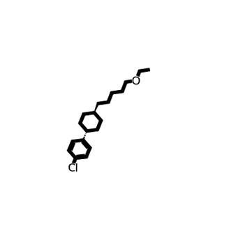 CCOCCCCC[C@H]1CC[C@H](c2ccc(Cl)cc2)CC1